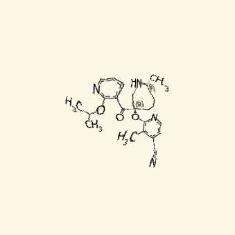 Cc1c(C#N)ccnc1O[C@]1(C(=O)c2cccnc2OC(C)C)CC[C@@H](C)NC1